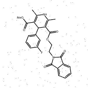 COC(=O)C1=C(C)NC(C)=C(C(=O)OCCN2C(=O)c3ccccc3C2=O)C1c1cccc(F)c1